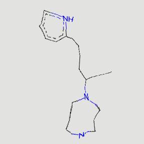 CC(CCc1ccc[nH]1)N1CC[N]CC1